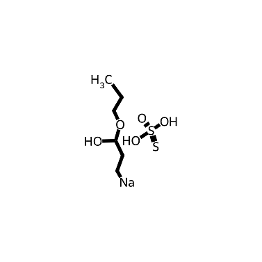 CCCOC(O)C[CH2][Na].O=S(O)(O)=S